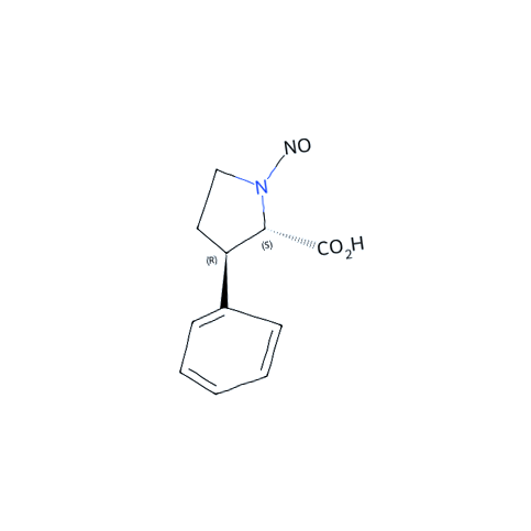 O=NN1CC[C@H](c2ccccc2)[C@H]1C(=O)O